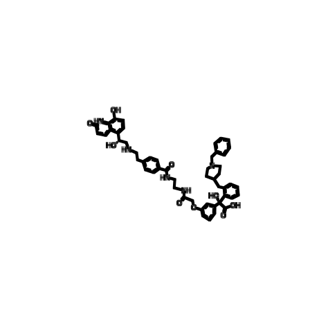 O=C(COc1cccc([C@@](O)(C(=O)O)c2ccccc2CC2CCN(Cc3ccccc3)CC2)c1)NCCNC(=O)c1ccc(CCNC[C@H](O)c2ccc(O)c3[nH]c(=O)ccc23)cc1